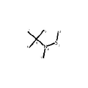 CSN(C)C(C)(C)C